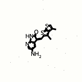 Cc1csc2sc(C=C3C(=O)Nc4ncc(N)cc43)c(C)c12